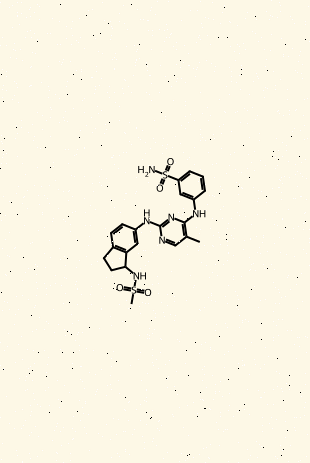 Cc1cnc(Nc2ccc3c(c2)C(NS(C)(=O)=O)CC3)nc1Nc1cccc(S(N)(=O)=O)c1